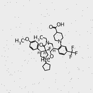 CCN(C[C@H](COC)c1ccc(C(F)(F)F)cc1N1CCC(C(=O)O)CC1)C(=O)[C@]1(F)CN(C2CCCC2)C[C@H]1c1ccc(OC)cc1